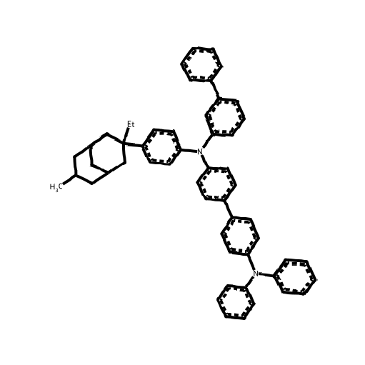 CCC1(c2ccc(N(c3ccc(-c4ccc(N(c5ccccc5)c5ccccc5)cc4)cc3)c3cccc(-c4ccccc4)c3)cc2)CC2CC(C)CC(C2)C1